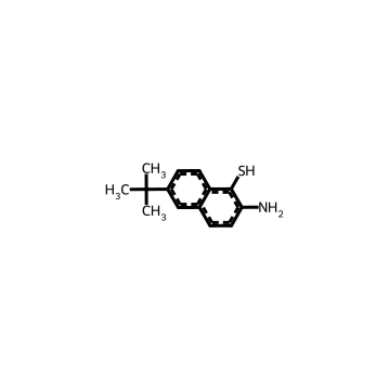 CC(C)(C)c1ccc2c(S)c(N)ccc2c1